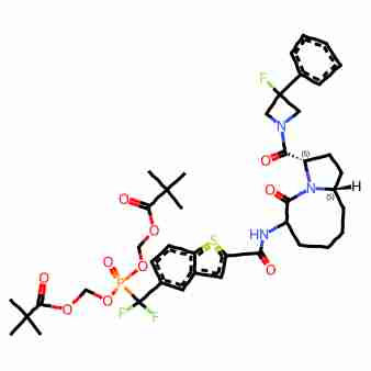 CC(C)(C)C(=O)OCOP(=O)(OCOC(=O)C(C)(C)C)C(F)(F)c1ccc2sc(C(=O)NC3CCCC[C@H]4CC[C@@H](C(=O)N5CC(F)(c6ccccc6)C5)N4C3=O)cc2c1